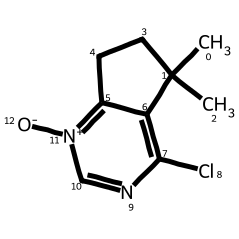 CC1(C)CCc2c1c(Cl)nc[n+]2[O-]